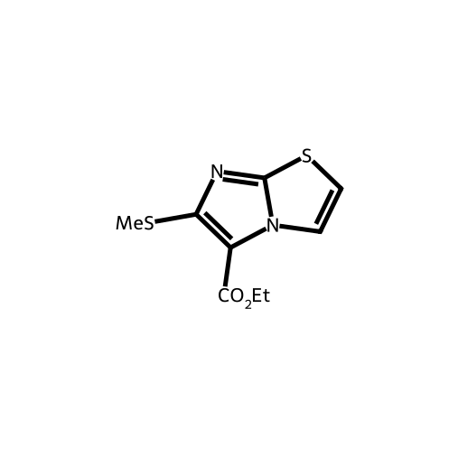 CCOC(=O)c1c(SC)nc2sccn12